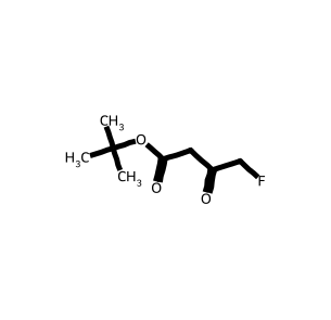 CC(C)(C)OC(=O)CC(=O)CF